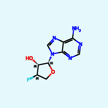 Nc1ncnc2c1ncn2[C@@H]1OC[C@@H](F)[C@@H]1O